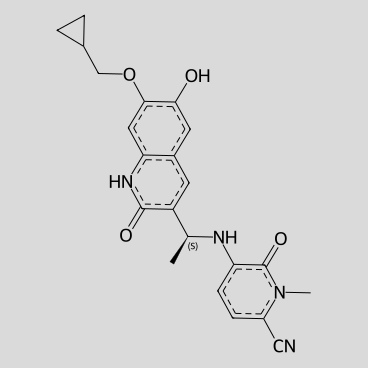 C[C@H](Nc1ccc(C#N)n(C)c1=O)c1cc2cc(O)c(OCC3CC3)cc2[nH]c1=O